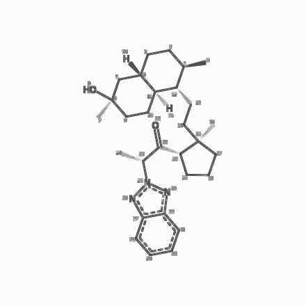 C[C@@H]1CC[C@H]2C[C@](C)(O)CC[C@@H]2[C@H]1CC[C@@]1(C)CCC[C@@H]1C(=O)[C@@H](C)n1nc2ccccc2n1